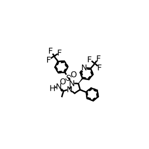 [H]/N=C(\C)N1CC(c2ccccc2)[C@H](c2ccc(C(F)(F)F)nc2)N1S(=O)(=O)c1ccc(C(F)(F)F)cc1